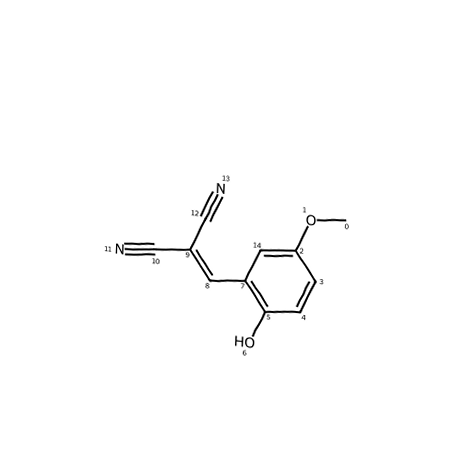 COc1ccc(O)c(C=C(C#N)C#N)c1